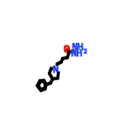 NNC(=O)CCCCN1CCC(Cc2ccccc2)CC1